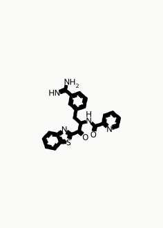 N=C(N)c1cccc(CC(NC(=O)c2ccccn2)C(=O)c2nc3ccccc3s2)c1